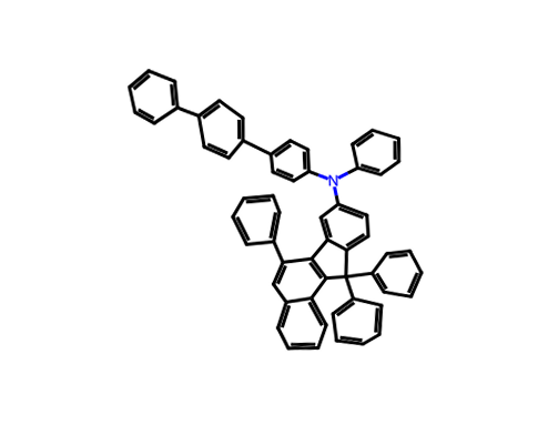 c1ccc(-c2ccc(-c3ccc(N(c4ccccc4)c4ccc5c(c4)-c4c(-c6ccccc6)cc6ccccc6c4C5(c4ccccc4)c4ccccc4)cc3)cc2)cc1